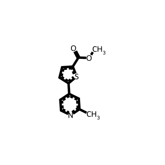 COC(=O)c1ccc(-c2ccnc(C)c2)s1